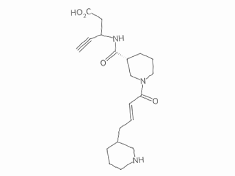 C#CC(CC(=O)O)NC(=O)[C@@H]1CCCN(C(=O)/C=C/CC2CCCNC2)C1